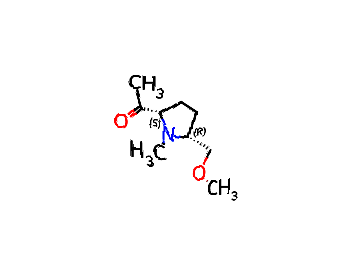 COC[C@H]1CC[C@@H](C(C)=O)N1C